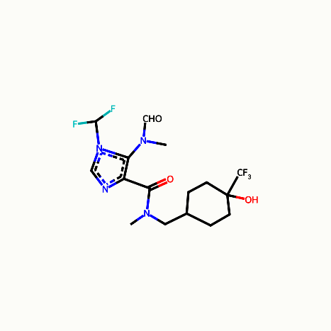 CN(CC1CCC(O)(C(F)(F)F)CC1)C(=O)c1ncn(C(F)F)c1N(C)C=O